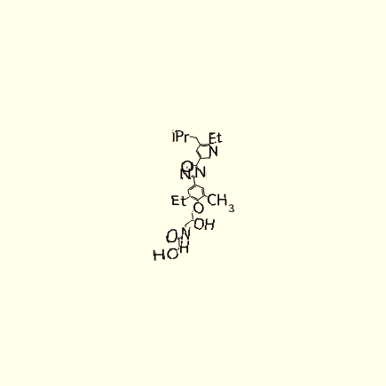 CCc1cc(-c2noc(-c3cnc(CC)c(CC(C)C)c3)n2)cc(C)c1OCC(O)CNC(=O)CO